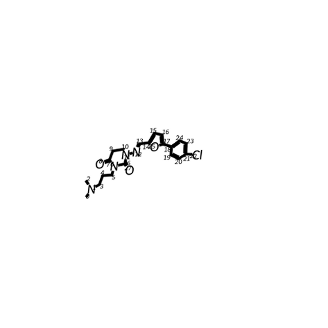 CN(C)CCCN1C(=O)CCN(N=Cc2ccc(-c3ccc(Cl)cc3)o2)C1=O